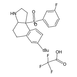 CC(C)(C)c1ccc2c(c1)CCC1NCCC21S(=O)(=O)c1cccc(F)c1.O=C(O)C(F)(F)F